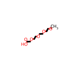 COCCOCCOCCOCC(=O)O